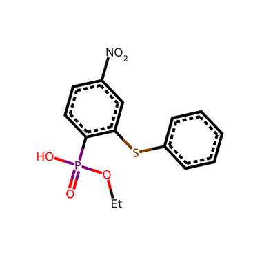 CCOP(=O)(O)c1ccc([N+](=O)[O-])cc1Sc1ccccc1